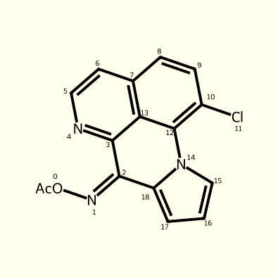 CC(=O)ON=c1c2nccc3ccc(Cl)c(c32)n2cccc12